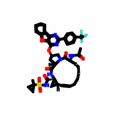 CC(=O)N[C@H]1CCCCC/C=C\[C@@H]2C[C@@]2(C(=O)NS(=O)(=O)C2(C)CC2)NC(=O)[C@@H]2C[C@@H](Oc3nc(-c4ccc(C(F)(F)F)cc4)nc4c3oc3ccccc34)CN2C1=O